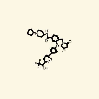 C[C@H]1CC(=O)N(Cc2ccc(C(=O)NC3CCN(C4CCCC4)CC3)cc2Oc2ccc(-c3ccc(C(O)C(F)(F)F)nn3)cc2)C1